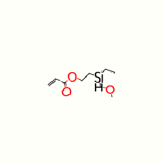 C=CC(=O)OCC[SiH](CC)COC